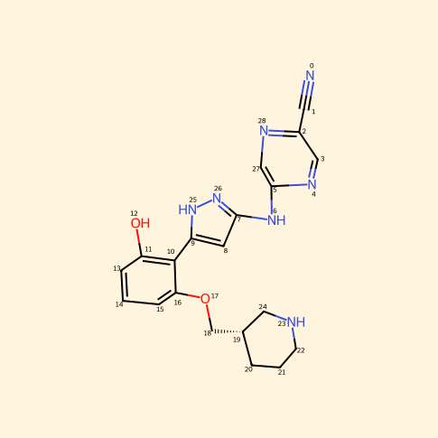 N#Cc1cnc(Nc2cc(-c3c(O)cccc3OC[C@H]3CCCNC3)[nH]n2)cn1